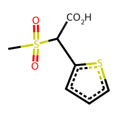 CS(=O)(=O)C(C(=O)O)c1cccs1